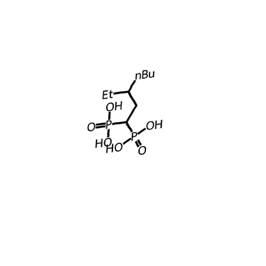 CCCCC(CC)C[C](P(=O)(O)O)P(=O)(O)O